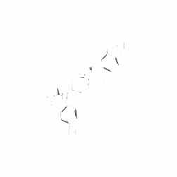 O=C(O)c1cccc(S(=O)(=O)N2CCC(N3C(=O)OCc4cc(Br)ccc43)CC2)c1